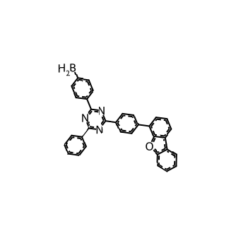 Bc1ccc(-c2nc(-c3ccccc3)nc(-c3ccc(-c4cccc5c4oc4ccccc45)cc3)n2)cc1